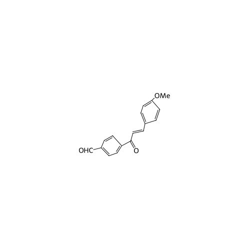 COc1ccc(/C=C/C(=O)c2ccc(C=O)cc2)cc1